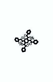 O=C1C(C(S)C(=O)c2ccccc2)=C(C(S)C(=O)c2ccccc2)C(=O)C(C(S)C(=O)c2ccccc2)=C1C(S)C(=O)c1ccccc1